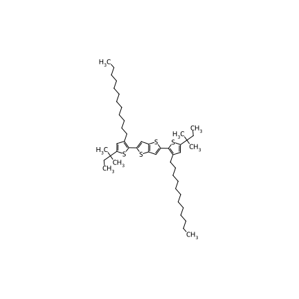 CCCCCCCCCCCCc1cc(C(C)(C)CC)sc1-c1cc2sc(-c3sc(C(C)(C)CC)cc3CCCCCCCCCCCC)cc2s1